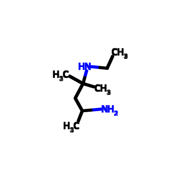 CCNC(C)(C)CC(C)N